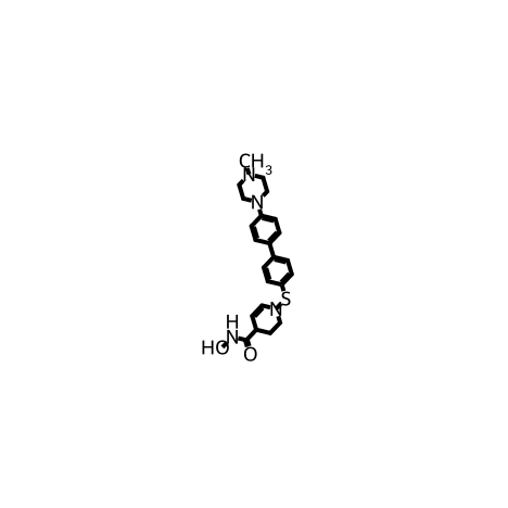 CN1CCN(c2ccc(-c3ccc(SN4C=CC(C(=O)NO)CC4)cc3)cc2)CC1